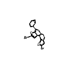 Brc1cc2c(o1)c(-c1ccccc1)cc1ccc3cc(Br)oc3c12